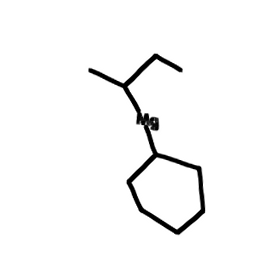 CC[CH](C)[Mg][CH]1CCCCC1